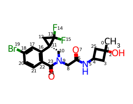 CC1(O)CC(NC(=O)CN2C[C@@]3(CC3(F)F)c3cc(Br)ccc3C2=O)C1